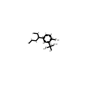 CCCC(CC)c1ccc(F)c(C(C)(F)F)c1